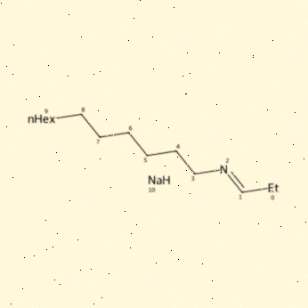 CC/C=N/CCCCCCCCCCCC.[NaH]